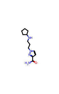 NC(=O)c1ccn(CCCNC2CCCC2)n1